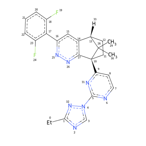 CCc1ncn(-c2nccc([C@@]34CC[C@@H](c5cc(-c6c(F)cccc6F)nnc53)C4(C)C)n2)n1